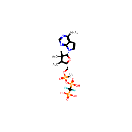 BP(=O)(OC[C@H]1O[C@@H](n2ccc3c(NC(C)=O)ncnc32)[C@](C)(OC(C)=O)C1OC(C)=O)OP(=O)(O)C(F)(F)P(=O)(O)O